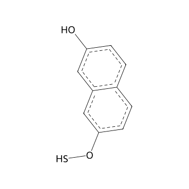 Oc1ccc2ccc(OS)cc2c1